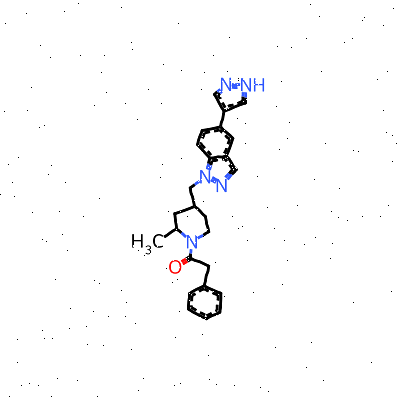 CC1CC(Cn2ncc3cc(-c4cn[nH]c4)ccc32)CCN1C(=O)Cc1ccccc1